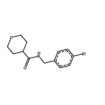 CCc1ccc(CNC(=O)C2CCOCC2)cc1